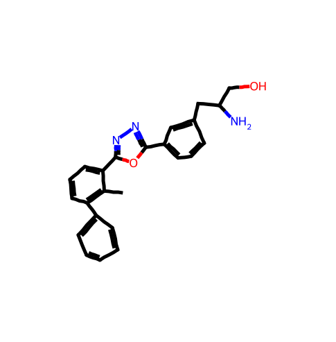 Cc1c(-c2ccccc2)cccc1-c1nnc(-c2cccc(CC(N)CO)c2)o1